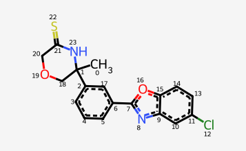 CC1(c2cccc(-c3nc4cc(Cl)ccc4o3)c2)COCC(=S)N1